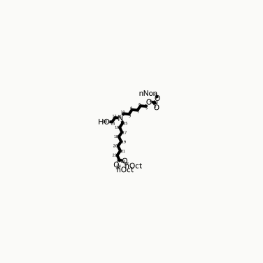 CCCCCCCCCOC(=O)OCCCCCCN(CCO)CCCCCCCCC(OCCCCCCCC)OCCCCCCCC